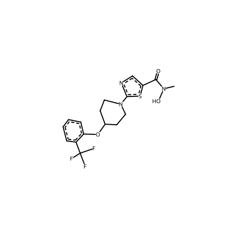 CN(O)C(=O)c1cnc(N2CCC(Oc3ccccc3C(F)(F)F)CC2)s1